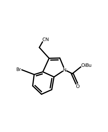 CC(C)COC(=O)n1cc(CC#N)c2c(Br)cccc21